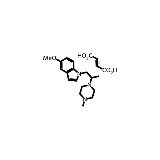 COc1ccc2c(ccn2CC(C)N2CCN(C)CC2)c1.O=C(O)/C=C/C(=O)O